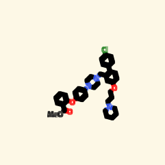 COC(=O)c1ccccc1Oc1ccc(N2CCN(Cc3cc(OCCCN4CCCCC4)ccc3-c3ccc(Cl)cc3)CC2)cc1